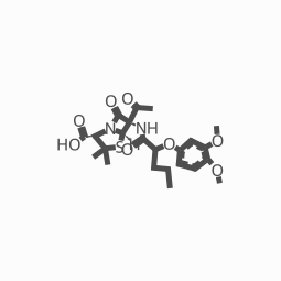 CCCC(Oc1ccc(OC)c(OC)c1)C(=O)N[C@@]1(C(C)=O)C(=O)N2[C@@H](C(=O)O)C(C)(C)S[C@@H]21